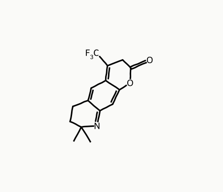 CC1(C)CCc2cc3c(cc2=N1)OC(=O)CC=3C(F)(F)F